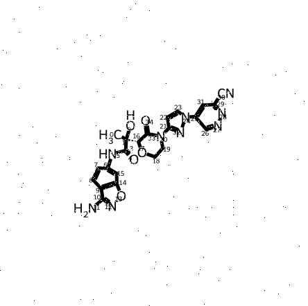 CC(O)(C(=O)Nc1ccc2c(N)noc2c1)[C@H]1OCCN(c2ccn(-c3cnnc(C#N)c3)n2)C1=O